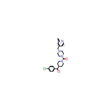 C=C/C=C(\C=C/N)CN1CCN(C(=O)N2CCC(C(=O)c3ccc(Cl)cc3)CC2)CC1